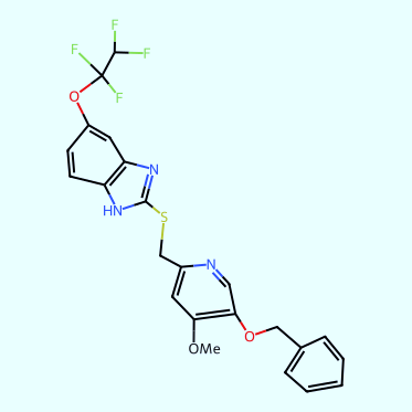 COc1cc(CSc2nc3cc(OC(F)(F)C(F)F)ccc3[nH]2)ncc1OCc1ccccc1